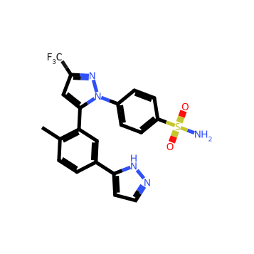 Cc1ccc(-c2ccn[nH]2)cc1-c1cc(C(F)(F)F)nn1-c1ccc(S(N)(=O)=O)cc1